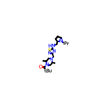 CC1CN(C(=O)C(C)(C)C)C(C)CN1Cc1nsc(NCC2CCCN2C(C)C)n1